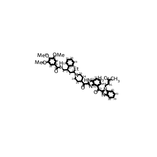 CCC(CC(CNC(=O)c1cc(OC)c(OC)c(OC)c1)c1ccccc1)N1CCC(C(=O)c2nc3c(C(=O)c4nc5ccccc5n4CC=C(C)C)cccc3[nH]2)CC1